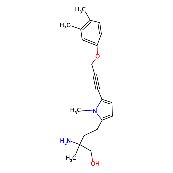 Cc1ccc(OCC#Cc2ccc(CCC(C)(N)CO)n2C)cc1C